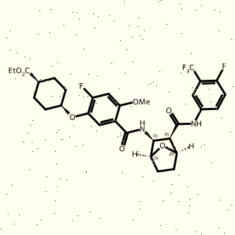 CCOC(=O)[C@H]1CC[C@@H](Oc2cc(C(=O)N[C@H]3[C@@H](C(=O)Nc4ccc(F)c(C(F)(F)F)c4)[C@H]4CC[C@@H]3O4)c(OC)cc2F)CC1